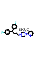 CCOC(=O)c1cccnc1N1CCN(CCCC(c2ccc(F)cc2)c2ccc(F)cc2)CC1